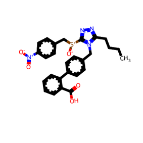 CCCCc1nnc([S+]([O-])Cc2ccc([N+](=O)[O-])cc2)n1Cc1ccc(-c2ccccc2C(=O)O)cc1